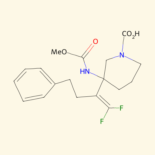 COC(=O)NC1(C(CCc2ccccc2)=C(F)F)CCCN(C(=O)O)C1